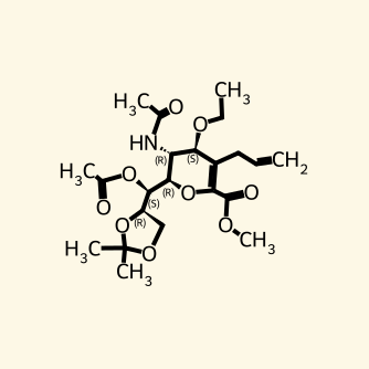 C=CCC1=C(C(=O)OC)O[C@@H]([C@H](OC(C)=O)[C@H]2COC(C)(C)O2)[C@H](NC(C)=O)[C@H]1OCC